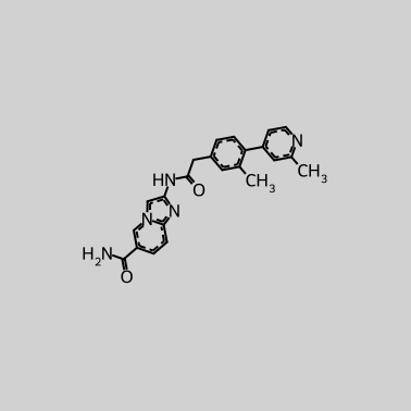 Cc1cc(-c2ccc(CC(=O)Nc3cn4cc(C(N)=O)ccc4n3)cc2C)ccn1